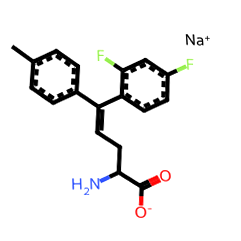 Cc1ccc(C(=CCC(N)C(=O)[O-])c2ccc(F)cc2F)cc1.[Na+]